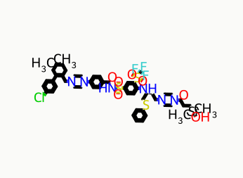 CC1(C)CCC(CN2CCN(c3ccc(C(=O)NS(=O)(=O)c4ccc(N[C@H](CCN5CCN(C(=O)CC[Si](C)(C)O)CC5)CSc5ccccc5)c(S(=O)(=O)C(F)(F)F)c4)cc3)CC2)=C(c2ccc(Cl)cc2)C1